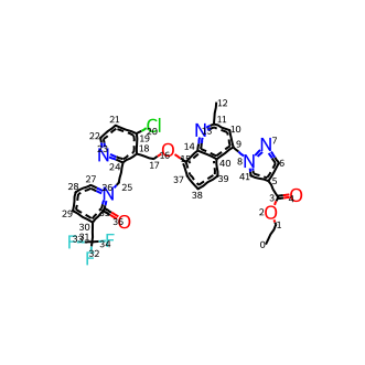 CCOC(=O)c1cnn(-c2cc(C)nc3c(OCc4c(Cl)ccnc4Cn4cccc(C(F)(F)F)c4=O)cccc23)c1